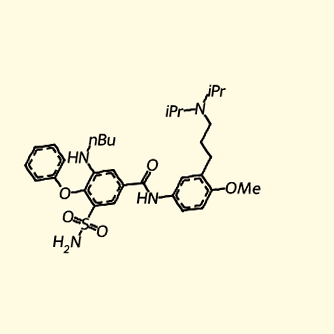 CCCCNc1cc(C(=O)Nc2ccc(OC)c(CCCN(C(C)C)C(C)C)c2)cc(S(N)(=O)=O)c1Oc1ccccc1